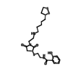 O=C(NCCSC1CC(=O)N(CCNCCCCCC2CCSS2)C1=O)c1ccccc1O